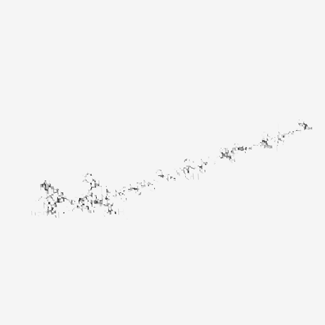 CCCC[C@H](NC(=O)[C@H](CC(C)C)NC(=O)[C@H](Cc1c[nH]cn1)NC(=O)CNC(=O)C(NC(=O)[C@H](C)NC(=O)[C@H](Cc1c[nH]c2ccccc12)NC(=O)[C@H](CCC(N)=O)NC(=O)CCNC(=O)CCNC(=O)CCNC(=O)CCC(=O)NCCCCCN(O)C(=O)CCC(=O)NCCCCCN(O)C(=O)CCC(=O)NCCCCCN(O)C(=O)CCC(=O)NCCCCCN(O)C(C)=O)C(C)C)C(N)=O